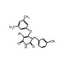 Cc1cc(C)cc(Oc2c(C(C)C)c(=O)[nH]c(=O)n2Cc2cccc(C#N)c2)c1